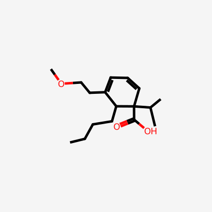 CCCCC1C(CCOC)=CC=CC1(C(=O)O)C(C)C